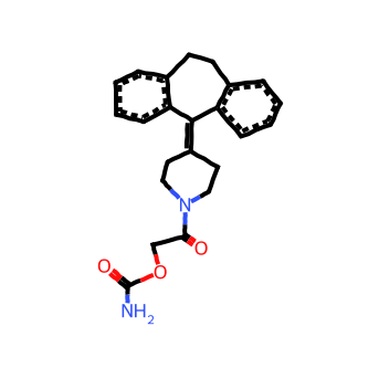 NC(=O)OCC(=O)N1CCC(=C2c3ccccc3CCc3ccccc32)CC1